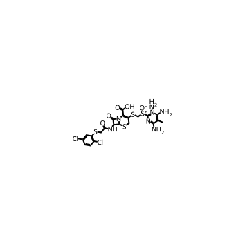 Cc1c(N)nc([S+]([O-])CSC2=C(C(=O)O)N3C(=O)C(NC(=O)CSc4cc(Cl)ccc4Cl)C3SC2)[n+](N)c1N